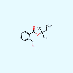 BCc1ccccc1C(=O)OC(CS(=O)(=O)O)(C(F)(F)F)C(F)(F)F